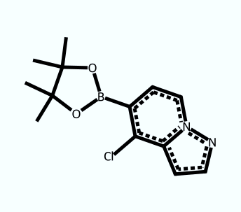 CC1(C)OB(c2ccn3nccc3c2Cl)OC1(C)C